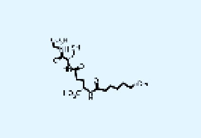 CCCCCCCCCCCCCCCC(=O)N[C@@H](CCC(=O)N[C@@H](CS)C(=O)NCC(=O)O)C(=O)O